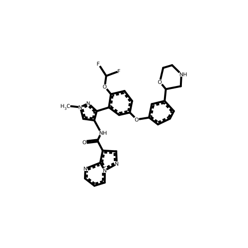 Cn1cc(NC(=O)c2cnn3cccnc23)c(-c2cc(Oc3cccc(C4CNCCO4)c3)ccc2OC(F)F)n1